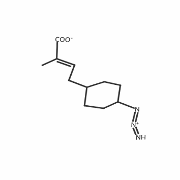 CC(=CCC1CCC(N=[N+]=N)CC1)C(=O)[O-]